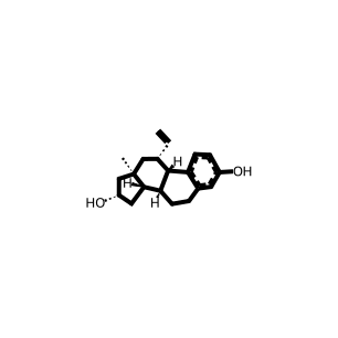 C=C[C@H]1C[C@]2(C)C[C@@H](O)C[C@H]2[C@@H]2CCc3cc(O)ccc3[C@H]21